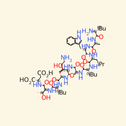 CC[C@H](C)[C@H](N)C(=O)N[C@@H](C)C(=O)N[C@@H](Cc1c[nH]c2ccccc12)C(=O)N[C@@H](CC(C)C)C(=O)N[C@H](C(=O)N[C@@H](C)C(=O)N[C@H](C(=O)N[C@@H](CCCCN)C(=O)N[C@H](C(=O)N[C@H](C(=O)N[C@@H](CC(=O)O)C(=O)O)[C@@H](C)O)[C@@H](C)CC)[C@@H](C)O)[C@@H](C)CC